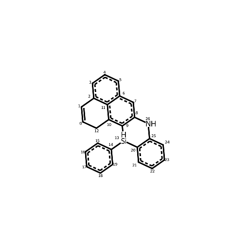 C1=Cc2cccc3cc4c(c(c23)C1)[SiH](c1ccccc1)c1ccccc1N4